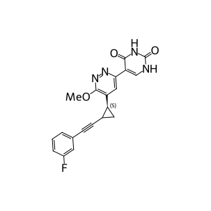 COc1nnc(-c2c[nH]c(=O)[nH]c2=O)cc1[C@H]1CC1C#Cc1cccc(F)c1